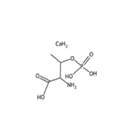 CC(OP(=O)(O)O)C(N)C(=O)O.[CaH2]